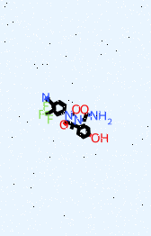 CC1(c2ccc(O)cc2)C(=O)N(c2ccc(C#N)c(C(F)(F)F)c2)C(=O)N1CC(N)=O